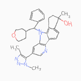 Cc1nnn(C)c1-c1cnc2c3ccc4c(c3n(C(c3ccccc3)C3CCOCC3)c2c1)CCC4(C)O